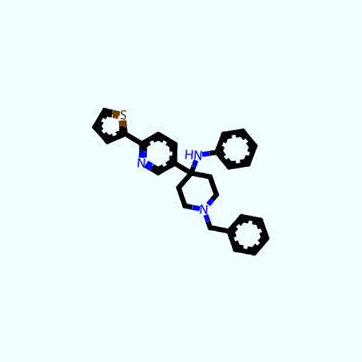 c1ccc(CN2CCC(Nc3ccccc3)(c3ccc(-c4cccs4)nc3)CC2)cc1